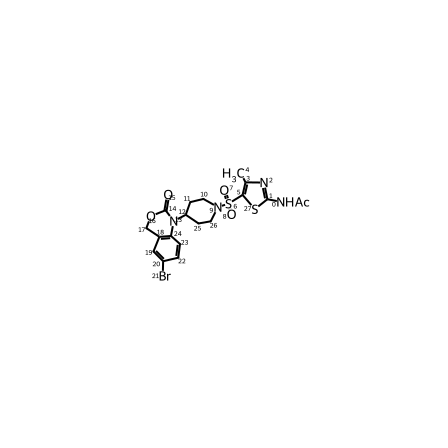 CC(=O)Nc1nc(C)c(S(=O)(=O)N2CCC(N3C(=O)OCc4cc(Br)ccc43)CC2)s1